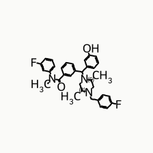 C[C@@H]1CN(C(c2cccc(O)c2)c2cccc(C(=O)N(C)c3cccc(F)c3)c2)[C@@H](C)CN1Cc1ccc(F)cc1